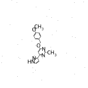 COc1ccc(COc2cc(-c3cc[nH]n3)nc(C)n2)cc1